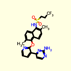 Cc1ccc2c(Oc3ncccc3-c3ccnc(N)n3)c(C)ccc2c1NS(=O)(=O)CCC(F)(F)F